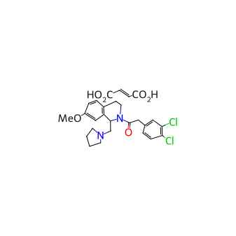 COc1ccc2c(c1)C(CN1CCCC1)N(C(=O)Cc1ccc(Cl)c(Cl)c1)CC2.O=C(O)C=CC(=O)O